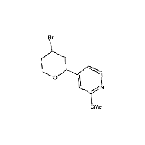 COc1cc(C2CC(Br)CCO2)ccn1